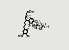 CCCCCCCCCCCCCC(CCCc1cc(C(C)(C)C)c(O)cc1C)c1cc(C(C)(C)C)c(O)cc1C.OP(O)O.OP(O)O